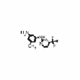 Cc1cc(N)cc(Nc2nccc(C(F)(F)F)n2)c1